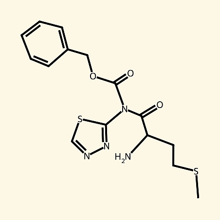 CSCCC(N)C(=O)N(C(=O)OCc1ccccc1)c1nncs1